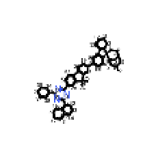 CC1C=C2CC(CCC23c2ccccc2-c2cc(-c4ccc5c(c4)C(C)(C)c4cc(-c6nc(-c7ccccc7)nc(-c7cccc8ccccc78)n6)ccc4-5)ccc23)C1